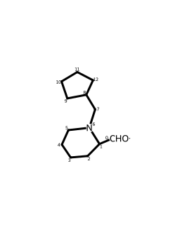 O=[C]C1CCCCN1CC1CCCC1